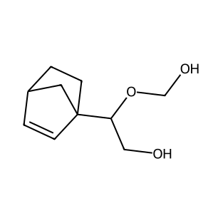 OCOC(CO)C12C=CC(CC1)C2